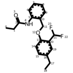 CCC(=O)Nc1ccccc1COc1ccc(CC)cc1C(F)F